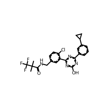 CC(C)(C(=O)NCc1ccc(Cl)c(-c2nc(O)nc(-c3cccc(C4CC4)c3)n2)c1)C(F)(F)F